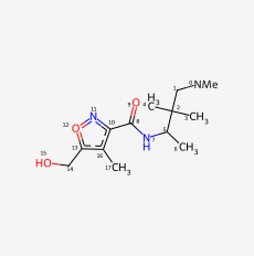 CNCC(C)(C)C(C)NC(=O)c1noc(CO)c1C